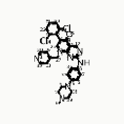 CN1CCN(c2ccc(Nc3ncc4c(=O)c(-c5c(Cl)cccc5Cl)cn(Cc5ccncc5)c4n3)cc2)CC1